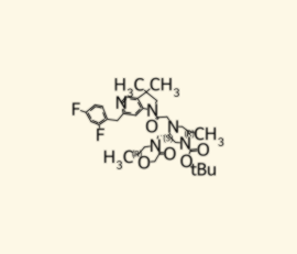 C[C@@H]1CN(C[C@H]2CN(C(=O)OC(C)(C)C)[C@H](C)CN2CC(=O)N2CC(C)(C)c3cnc(Cc4ccc(F)cc4F)cc32)C(=O)CO1